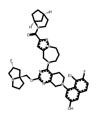 CCc1c(F)ccc2cc(O)cc(N3CCc4c(nc(OC[C@@]56CCCN5C[C@H](F)C6)nc4N4CCCn5nc(C(=O)N6CC[C@@H]7CC[C@H]6C7)cc5C4)C3)c12